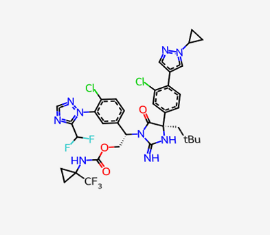 CC(C)(C)C[C@]1(c2ccc(-c3cnn(C4CC4)c3)c(Cl)c2)NC(=N)N([C@H](COC(=O)NC2(C(F)(F)F)CC2)c2ccc(Cl)c(-n3ncnc3C(F)F)c2)C1=O